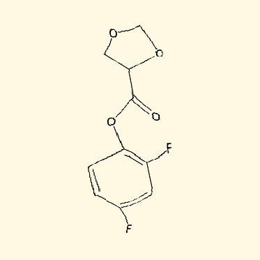 O=C(Oc1ccc(F)cc1F)C1COCO1